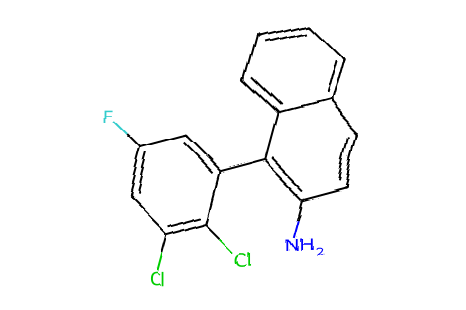 Nc1ccc2ccccc2c1-c1cc(F)cc(Cl)c1Cl